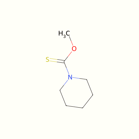 COC(=S)N1CCCCC1